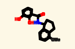 COc1cccc2c1CCCC2NC(=O)c1cccc(O)c1O